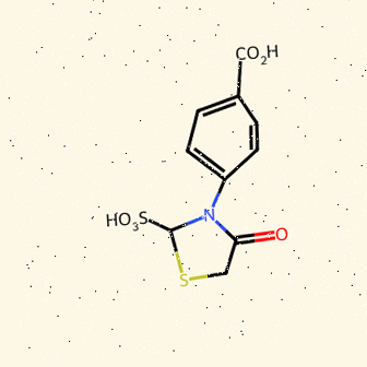 O=C(O)c1ccc(N2C(=O)CSC2S(=O)(=O)O)cc1